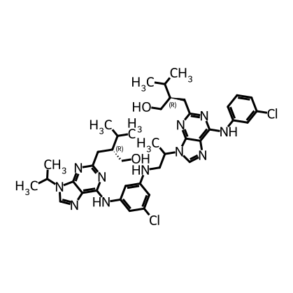 CC(C)[C@H](CO)Cc1nc(Nc2cc(Cl)cc(NCC(C)n3cnc4c(Nc5cccc(Cl)c5)nc(C[C@@H](CO)C(C)C)nc43)c2)c2ncn(C(C)C)c2n1